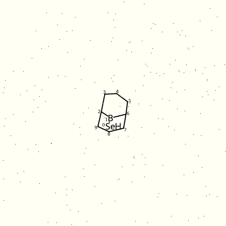 [SeH]B1C2CCCC1CCC2